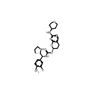 O=C(N[C@@H](c1ccc(C(F)(F)F)c(F)c1)[C@@H]1CCCN1)O[C@@H]1CCc2cnc(NC3CCOCC3)nc2O1